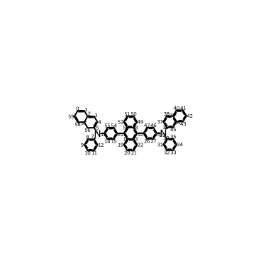 C1=CC2=CC=C(N(c3ccccc3)c3ccc(-c4c5ccccc5c(-c5ccc(N(c6ccccc6)c6ccc7ccccc7c6)cc5)c5ccccc45)cc3)CC2C=C1